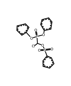 O=P(Oc1ccccc1)(Oc1ccccc1)C(Cl)OS(=O)(=O)c1ccccc1